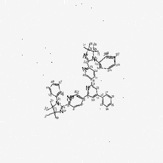 CC1(C)N=C(c2ccc(-c3cc(-c4ccccc4)cc(-c4ccc(C5=NC(C)(C)C(C)(C)N5c5ccccc5)nc4)n3)cn2)N(c2ccccc2)C1(C)C